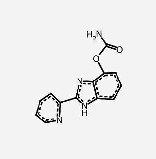 NC(=O)Oc1cccc2[nH]c(-c3ccccn3)nc12